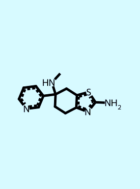 CNC1(c2cccnc2)CCc2nc(N)sc2C1